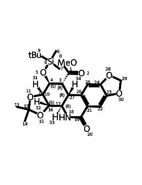 COC(=O)[C@H]1[C@H](O[Si](C)(C)C(C)(C)C)[C@H]2OC(C)(C)O[C@H]2[C@@H]2NC(=O)c3cc4c(cc3[C@H]21)OCO4